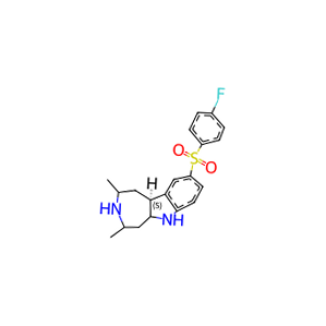 CC1CC2Nc3ccc(S(=O)(=O)c4ccc(F)cc4)cc3[C@@H]2CC(C)N1